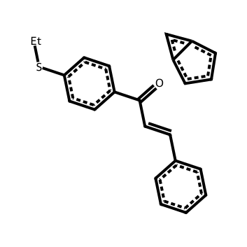 CCSc1ccc(C(=O)C=Cc2ccccc2)cc1.c1cc2cc-2c1